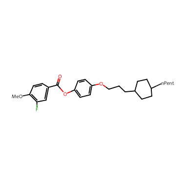 CCCCCC1CCC(CCCOc2ccc(OC(=O)c3ccc(OC)c(F)c3)cc2)CC1